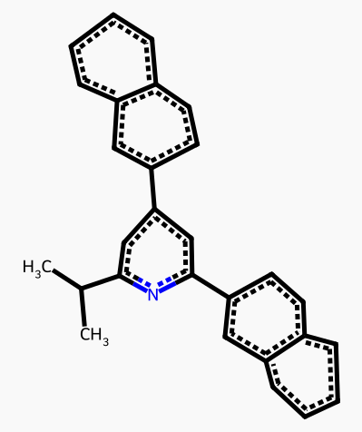 CC(C)c1cc(-c2ccc3ccccc3c2)cc(-c2ccc3ccccc3c2)n1